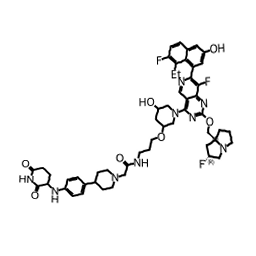 CCc1c(F)ccc2cc(O)cc(-c3ncc4c(N5CC(O)CC(OCCCNC(=O)CN6CCC(c7ccc(NC8CCC(=O)NC8=O)cc7)CC6)C5)nc(OC[C@@]56CCCN5C[C@H](F)C6)nc4c3F)c12